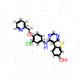 Oc1ccc2c(c1)sc1ncnc(Nc3ccc(OCc4ccccn4)c(Cl)c3)c12